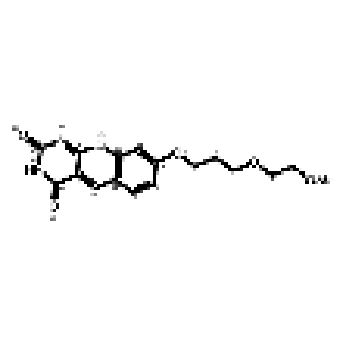 COCCOCCCOc1ccc2cc3c(=O)[nH]c(=O)nc-3oc2c1